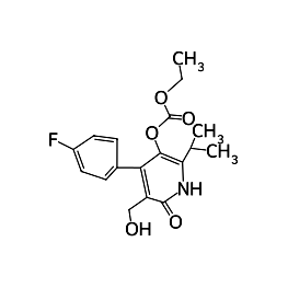 CCOC(=O)Oc1c(C(C)C)[nH]c(=O)c(CO)c1-c1ccc(F)cc1